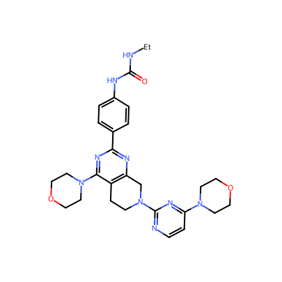 CCNC(=O)Nc1ccc(-c2nc3c(c(N4CCOCC4)n2)CCN(c2nccc(N4CCOCC4)n2)C3)cc1